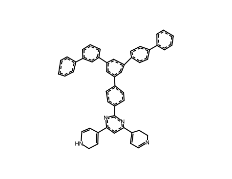 C1=CC(c2cc(C3=CC=NCC3)nc(-c3ccc(-c4cc(-c5ccc(-c6ccccc6)cc5)cc(-c5cccc(-c6ccccc6)c5)c4)cc3)n2)=CCN1